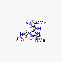 C=CC(=O)N(C)C1CC(n2cc(Nc3cn(C)nc3OC)c3ncc(NC)n3c2=O)C1